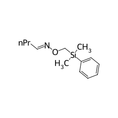 CCCC=NOC[Si](C)(C)c1ccccc1